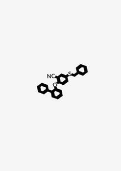 N#Cc1cc(SCc2ccccc2)ccc1Oc1ccccc1-c1ccccc1